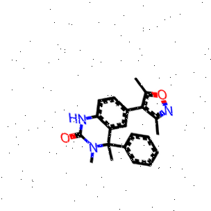 Cc1noc(C)c1-c1ccc2c(c1)C(C)(c1ccccc1)N(C)C(=O)N2